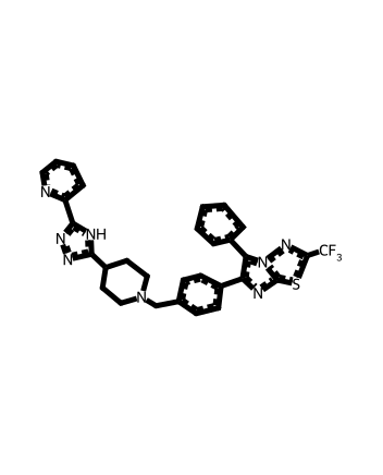 FC(F)(F)c1nn2c(-c3ccccc3)c(-c3ccc(CN4CCC(c5nnc(-c6ccccn6)[nH]5)CC4)cc3)nc2s1